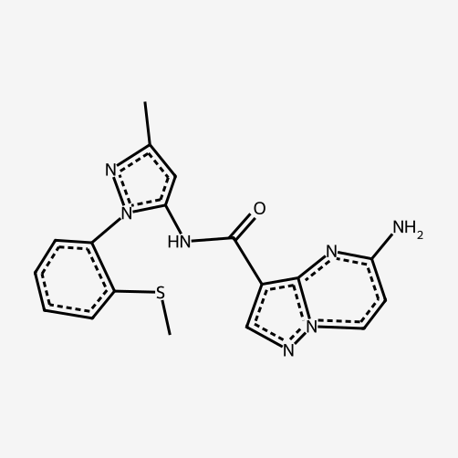 CSc1ccccc1-n1nc(C)cc1NC(=O)c1cnn2ccc(N)nc12